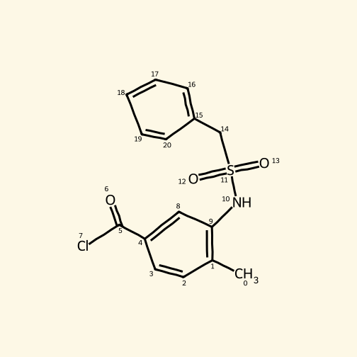 Cc1ccc(C(=O)Cl)cc1NS(=O)(=O)Cc1ccccc1